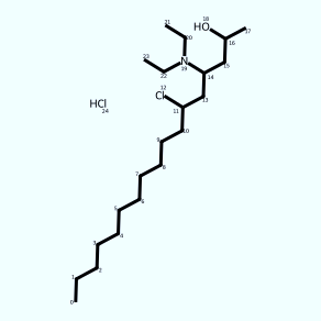 CCCCCCCCCCCC(Cl)CC(CC(C)O)N(CC)CC.Cl